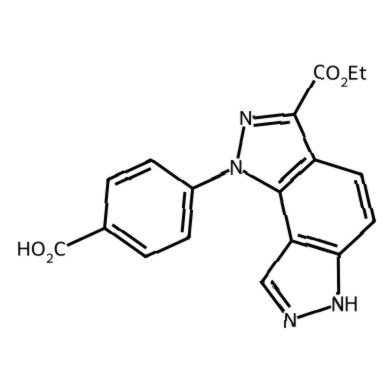 CCOC(=O)c1nn(-c2ccc(C(=O)O)cc2)c2c1ccc1[nH]ncc12